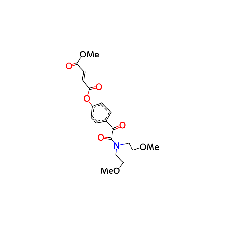 COCCN(CCOC)C(=O)C(=O)c1ccc(OC(=O)/C=C/C(=O)OC)cc1